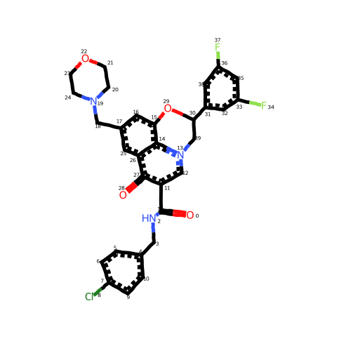 O=C(NCc1ccc(Cl)cc1)c1cn2c3c(cc(CN4CCOCC4)cc3c1=O)OC(c1cc(F)cc(F)c1)C2